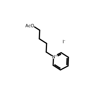 CC(=O)OCCCC[n+]1ccccc1.[I-]